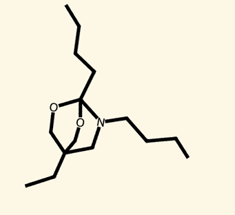 CCCCN1CC2(CC)COC1(CCCC)OC2